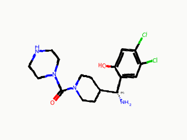 N[C@@H](c1cc(Cl)c(Cl)cc1O)C1CCN(C(=O)N2CCNCC2)CC1